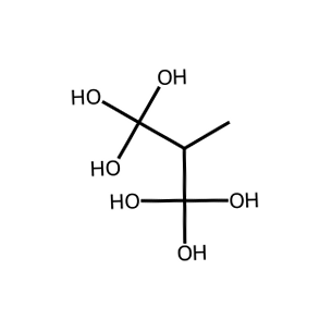 CC(C(O)(O)O)C(O)(O)O